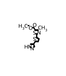 CCOC(=O)c1sc(-c2ccc(-c3cn[nH]c3)s2)nc1C